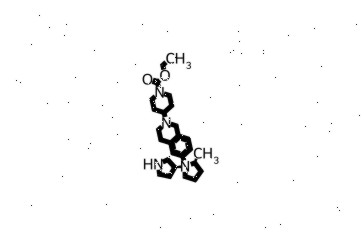 CCOC(=O)N1CCC(N2CCc3cc([N+]4([C@H]5CCNC5)CCC[C@@H]4C)ccc3C2)CC1